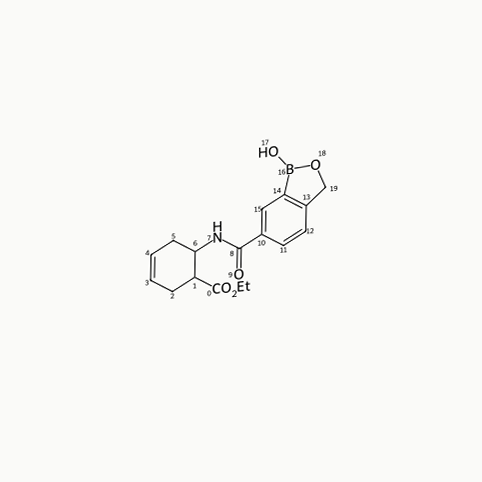 CCOC(=O)C1CC=CCC1NC(=O)c1ccc2c(c1)B(O)OC2